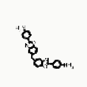 Nc1ccc(-c2nc3cc(Cc4ccc5oc(-c6ccc(N)cc6)nc5c4)ccc3o2)cc1